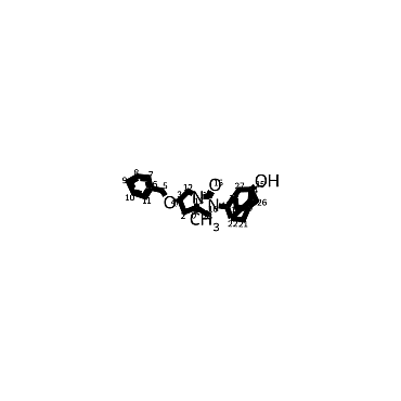 CC12C[C@@H](OCc3ccccc3)CN1C(=O)N(C1C3CC4CC1CC(O)(C4)C3)C2